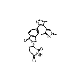 Cc1nn(C)cc1-c1c(-c2ccc3c(c2)CN(C2CCC(=O)NC2=O)C3=O)ncn1C